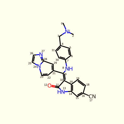 CN(C)Cc1ccc(NC(=C2C(=O)Nc3cc(C#N)ccc32)c2ccn3ccnc3c2)cc1